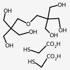 O=C(O)CS.O=C(O)CS.OCC(CO)(CO)COCC(CO)(CO)CO